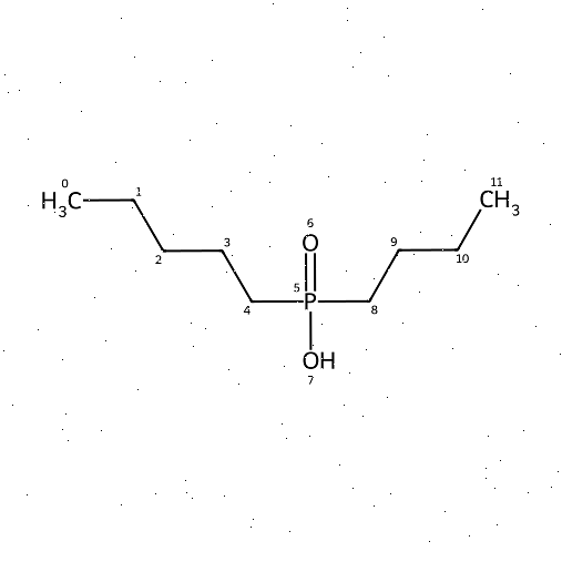 CCCCCP(=O)(O)CCCC